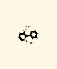 O=C([O-])N1C=CC=C(Cl)C1c1ccccc1.[Na+]